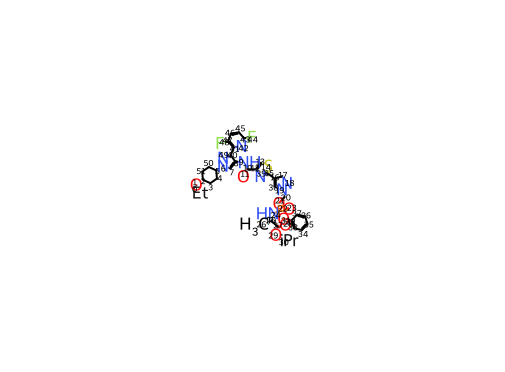 CCOC1CCC(n2cc(NC(=O)c3csc(-c4cnn(COP(=O)(N[C@H](C)C(=O)OC(C)C)Oc5ccccc5)c4)n3)c(-c3nc(F)ccc3F)n2)CC1